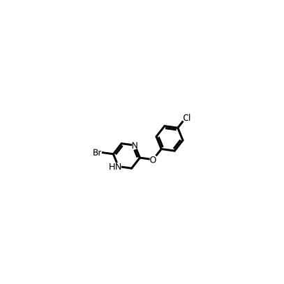 Clc1ccc(OC2=NC=C(Br)NC2)cc1